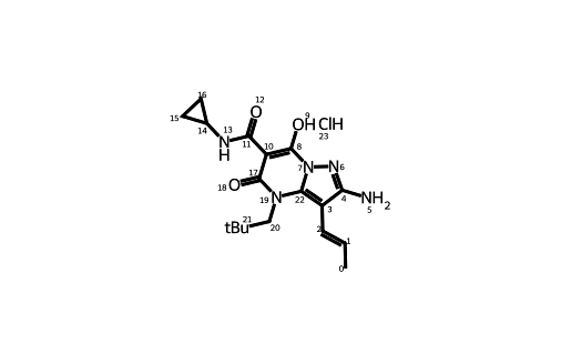 CC=Cc1c(N)nn2c(O)c(C(=O)NC3CC3)c(=O)n(CC(C)(C)C)c12.Cl